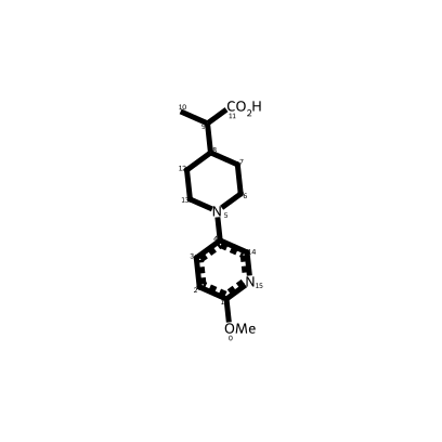 COc1ccc(N2CCC(C(C)C(=O)O)CC2)cn1